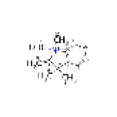 C=C1C(C)(C)c2ccccc2[N+]1(C)C=O